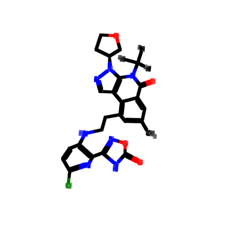 [2H]C([2H])([2H])n1c(=O)c2cc(C)cc(CCNc3ccc(Cl)nc3-c3noc(=O)[nH]3)c2c2cnn([C@H]3CCOC3)c21